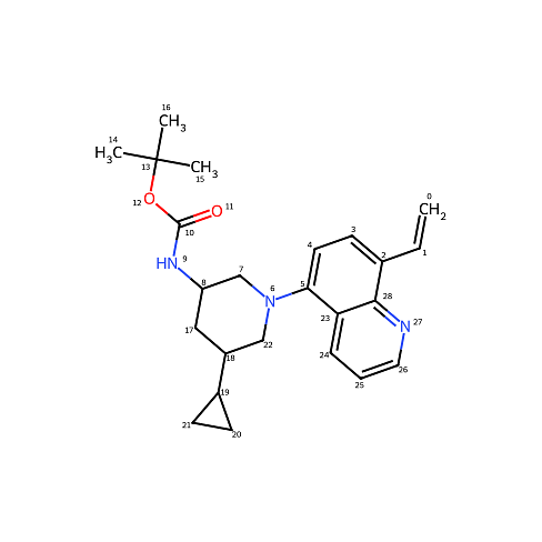 C=Cc1ccc(N2CC(NC(=O)OC(C)(C)C)CC(C3CC3)C2)c2cccnc12